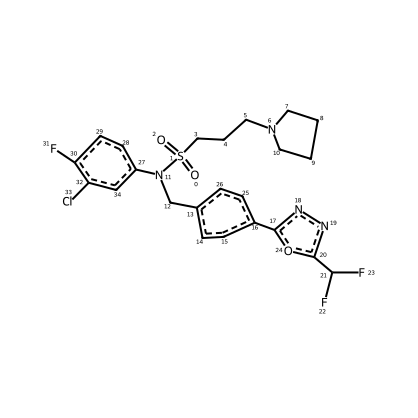 O=S(=O)(CCCN1CCCC1)N(Cc1ccc(-c2nnc(C(F)F)o2)cc1)c1ccc(F)c(Cl)c1